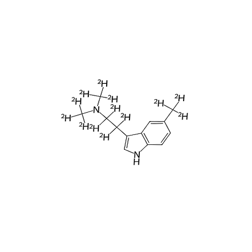 [2H]C([2H])([2H])c1ccc2[nH]cc(C([2H])([2H])C([2H])([2H])N(C([2H])([2H])[2H])C([2H])([2H])[2H])c2c1